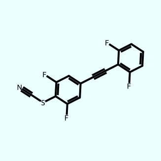 N#CSc1c(F)cc(C#Cc2c(F)cccc2F)cc1F